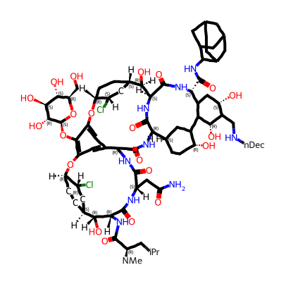 CCCCCCCCCCNCC1[C@H](O)C2C3C[C@H](CC[C@H]3O)[C@H]3NC(=O)[C@@H]4NC(=O)[C@H](CC(N)=O)NC(=O)[C@H](NC(=O)[C@@H](CC(C)C)NC)[C@H](O)[C@H]5CC[C@@H](Oc6cc4cc(c6O[C@@H]4O[C@H](CO)[C@@H](O)[C@H](O)[C@H]4O)O[C@@H]4CC[C@@H](C[C@@H]4Cl)[C@@H](O)[C@H](NC3=O)C(=O)N[C@H](C(=O)NC3C4CC6CC(C4)CC3C6)C2C[C@@H]1O)[C@H](Cl)C5